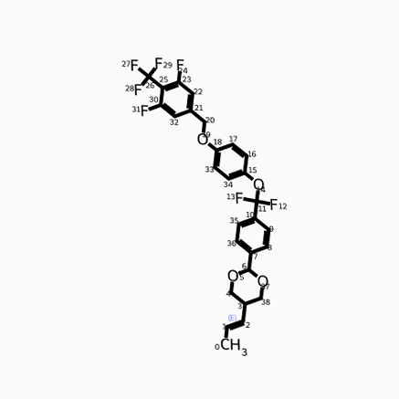 C/C=C/C1COC(c2ccc(C(F)(F)Oc3ccc(OCc4cc(F)c(C(F)(F)F)c(F)c4)cc3)cc2)OC1